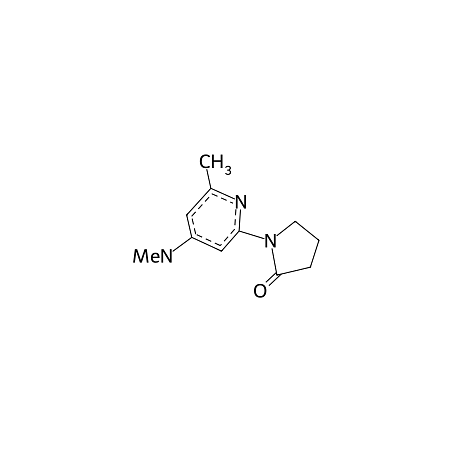 CNc1cc(C)nc(N2CCCC2=O)c1